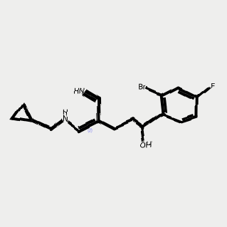 N=C/C(=C\NCC1CC1)CCC(O)c1ccc(F)cc1Br